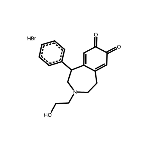 Br.O=C1C=C2CCN(CCO)CC(c3ccccc3)C2=CC1=O